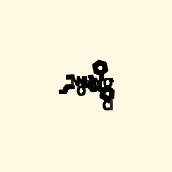 CCCCN(CC)NC(=O)c1cc(-c2cc(Cl)ccc2OC)n(CC2CCCCC2)c1C